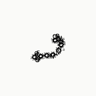 C[C@@H]1CN(Cc2ccc(N3CCC(c4cc(F)c(N5C(=O)CCCC5=O)c(F)c4)CC3)nc2)CCN1c1ccc2c(c1)-n1c(nc(=O)c3c(Cl)cccc31)C2(C)C